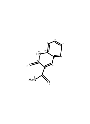 CNC(=O)c1cc2ccccc2[nH]c1=S